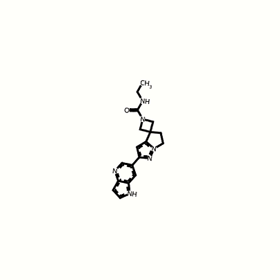 CCNC(=O)N1CC2(CCn3nc(-c4cnc5cc[nH]c5c4)cc32)C1